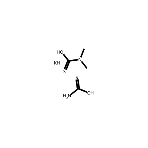 CN(C)C(O)=S.NC(O)=S.[KH]